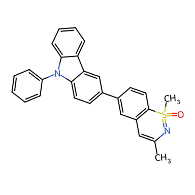 CC1=Cc2cc(-c3ccc4c(c3)c3ccccc3n4-c3ccccc3)ccc2S(C)(=O)=N1